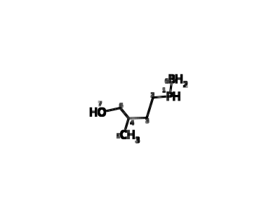 BPCCC(C)CO